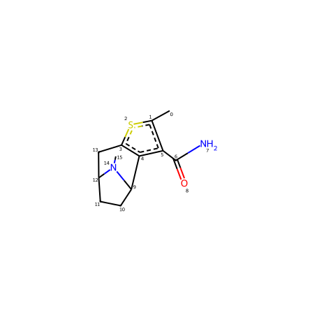 Cc1sc2c(c1C(N)=O)C1CCC(C2)N1C